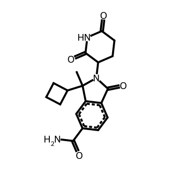 CC1(C2CCC2)c2cc(C(N)=O)ccc2C(=O)N1C1CCC(=O)NC1=O